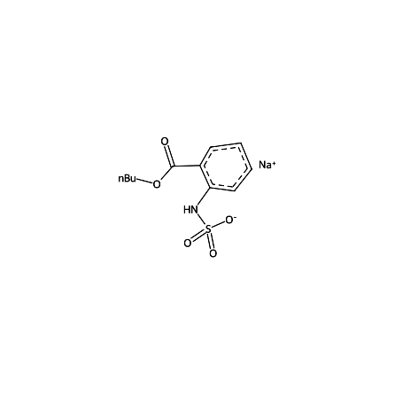 CCCCOC(=O)c1ccccc1NS(=O)(=O)[O-].[Na+]